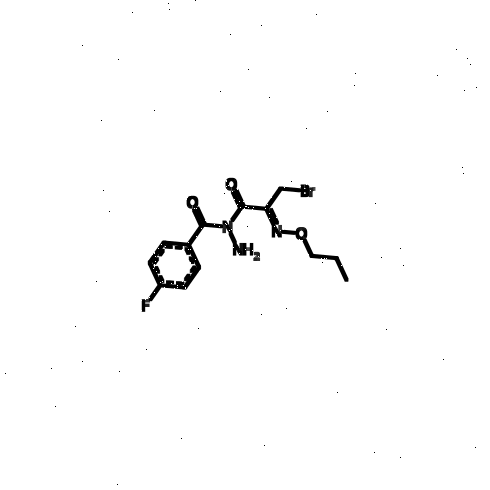 CCCON=C(CBr)C(=O)N(N)C(=O)c1ccc(F)cc1